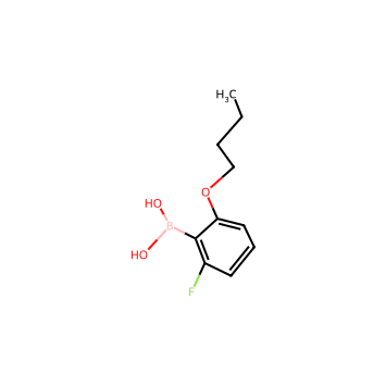 CCCCOc1cccc(F)c1B(O)O